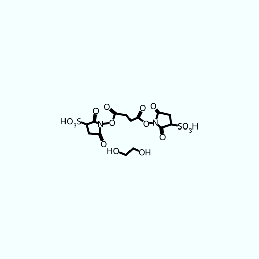 O=C(CCC(=O)ON1C(=O)CC(S(=O)(=O)O)C1=O)ON1C(=O)CC(S(=O)(=O)O)C1=O.OCCO